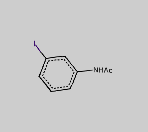 CC(=O)Nc1cccc(I)c1